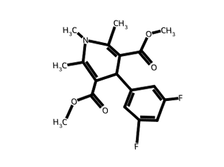 COC(=O)C1=C(C)N(C)C(C)=C(C(=O)OC)C1c1cc(F)cc(F)c1